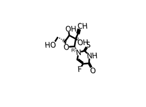 C#C[C@@]1(O)C(O)[C@@H](CO)O[C@H]1n1cc(F)c(=O)[nH]c1=S